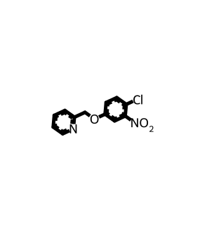 O=[N+]([O-])c1cc(OCc2ccccn2)ccc1Cl